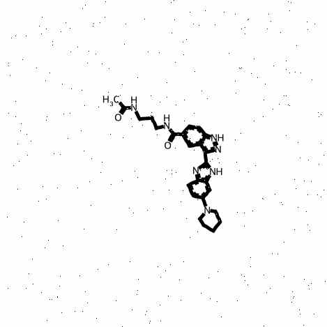 CC(=O)NCCCNC(=O)c1ccc2[nH]nc(-c3nc4ccc(N5CCCCC5)cc4[nH]3)c2c1